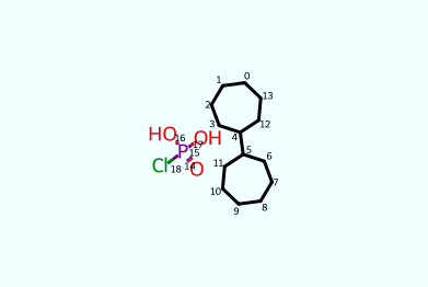 C1CCCC(C2CCCCCC2)CC1.O=P(O)(O)Cl